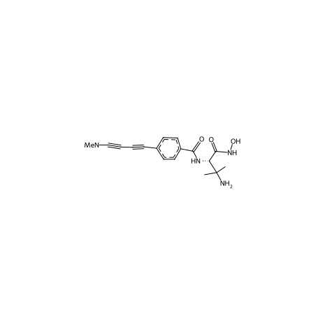 CNC#CC#Cc1ccc(C(=O)N[C@H](C(=O)NO)C(C)(C)N)cc1